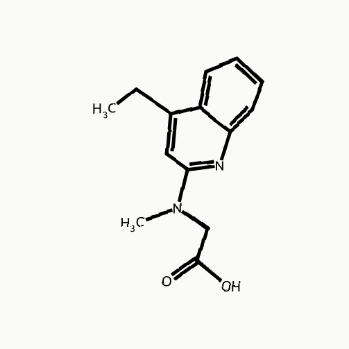 CCc1cc(N(C)CC(=O)O)nc2ccccc12